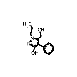 CCCn1nc(O)c(-c2ccccc2)c1CC